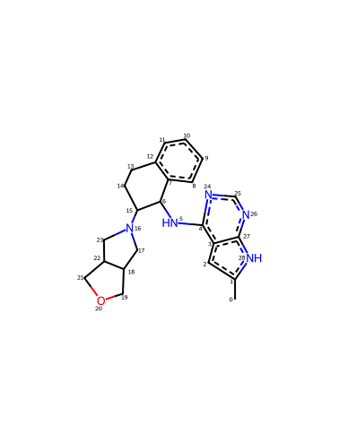 Cc1cc2c(NC3c4ccccc4CCC3N3CC4COCC4C3)ncnc2[nH]1